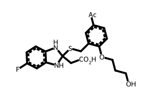 CC(=O)c1ccc(OCCCO)c(CSC2(CC(=O)O)Nc3ccc(F)cc3N2)c1